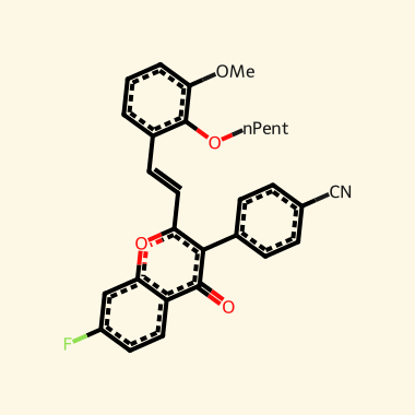 CCCCCOc1c(/C=C/c2oc3cc(F)ccc3c(=O)c2-c2ccc(C#N)cc2)cccc1OC